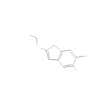 CC(C)c1cc2c(cc1O)C=C(OCC(=O)O)C2